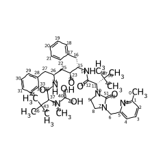 Cc1cccc(CN2CCN([C@H](C(=O)N[C@@H](Cc3ccccc3)[C@@H](O)C[C@H](Cc3ccccc3)NC(=O)[C@@H](N(C)C(=O)O)C(C)(C)C)C(C)(C)C)C2=O)n1